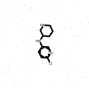 Clc1ccc(NC2CCCNC2)cn1